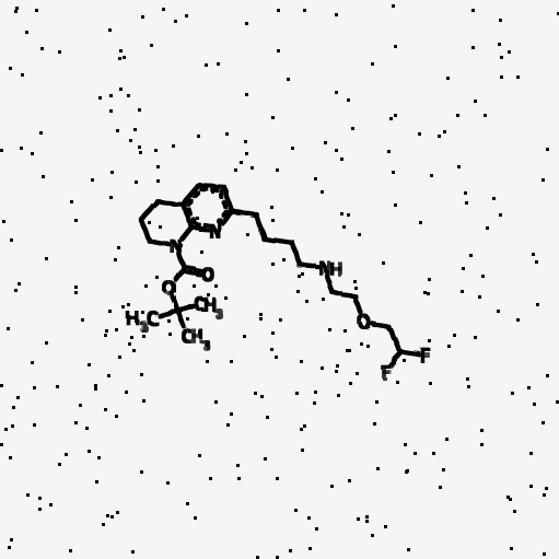 CC(C)(C)OC(=O)N1CCCc2ccc(CCCCNCCOCC(F)F)nc21